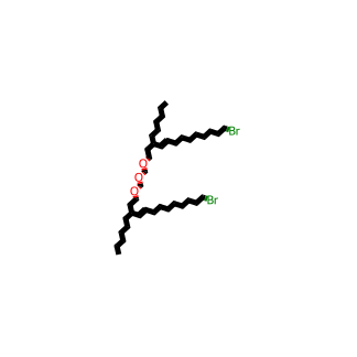 CCCCCCC(C=CCCCCCCCCBr)CCOCOCOCCC(C=CCCCCCCCCBr)CCCCCC